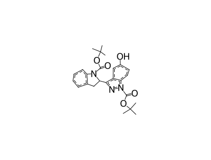 CC(C)(C)OC(=O)N1c2ccccc2CC1c1nn(C(=O)OC(C)(C)C)c2ccc(O)cc12